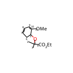 CCOC(=O)C(C)(C)OC1CC=CC=C1OC